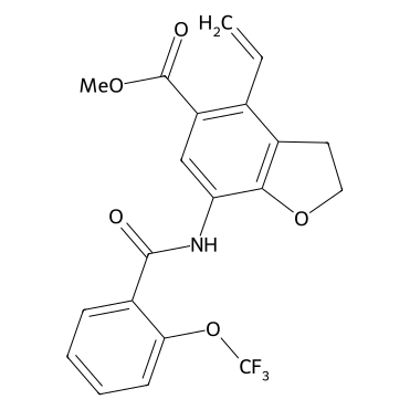 C=Cc1c(C(=O)OC)cc(NC(=O)c2ccccc2OC(F)(F)F)c2c1CCO2